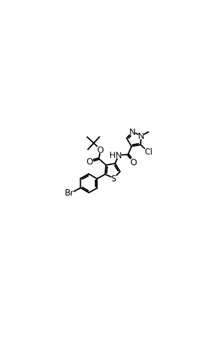 Cn1ncc(C(=O)Nc2csc(-c3ccc(Br)cc3)c2C(=O)OC(C)(C)C)c1Cl